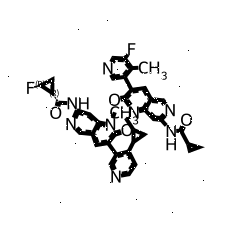 Cc1c(F)cncc1-c1cc2cnc(NC(=O)C3CC3)cc2n(CC2CC2c2ccncc2-c2cc3cnc(NC(=O)[C@H]4C[C@H]4F)cc3n(C)c2=O)c1=O